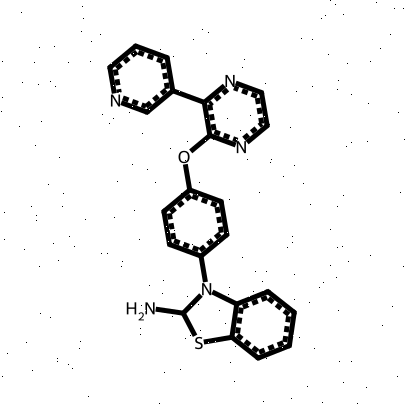 NC1Sc2ccccc2N1c1ccc(Oc2nccnc2-c2cccnc2)cc1